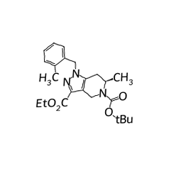 CCOC(=O)c1nn(Cc2ccccc2C)c2c1CN(C(=O)OC(C)(C)C)[C@H](C)C2